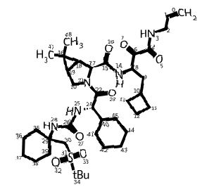 C=CCNC(=O)C(=O)C(CC1CCC1)NC(=O)[C@@H]1C2C(CN1C(=O)[C@@H](NC(=O)NC1(CS(=O)(=O)C(C)(C)C)CCCCC1)C1CCCCC1)C2(C)C